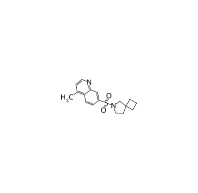 Cc1ccnc2cc(S(=O)(=O)N3CCC4(CCC4)C3)ccc12